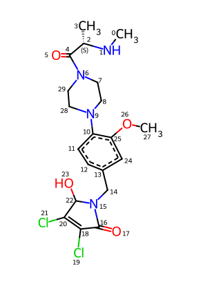 CN[C@@H](C)C(=O)N1CCN(c2ccc(CN3C(=O)C(Cl)=C(Cl)C3O)cc2OC)CC1